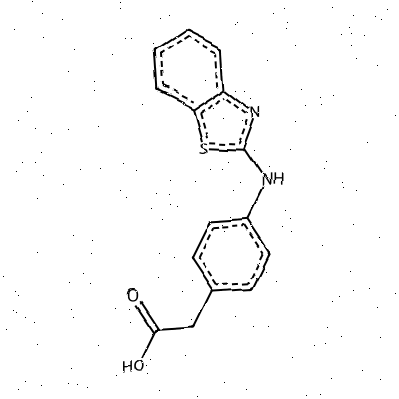 O=C(O)Cc1ccc(Nc2nc3ccccc3s2)cc1